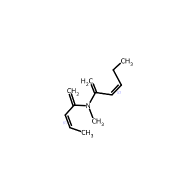 C=C(/C=C\C)N(C)C(=C)/C=C\CC